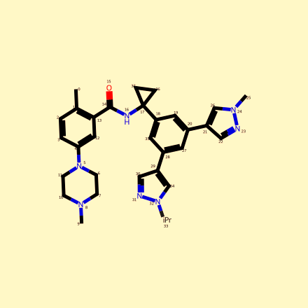 Cc1ccc(N2CCN(C)CC2)cc1C(=O)NC1(c2cc(-c3cnn(C)c3)cc(-c3cnn(C(C)C)c3)c2)CC1